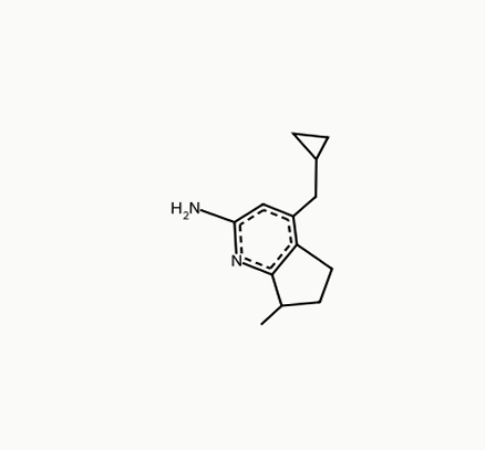 CC1CCc2c(CC3CC3)cc(N)nc21